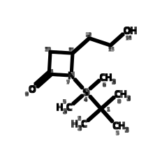 CC(C)(C)[Si](C)(C)N1C(=O)CC1CCO